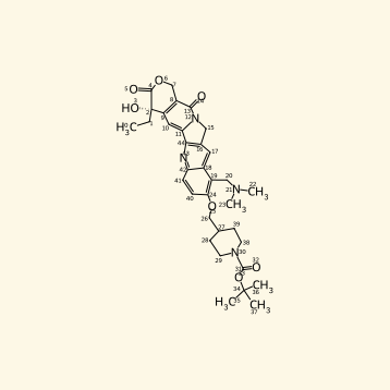 CC[C@@]1(O)C(=O)OCc2c1cc1n(c2=O)Cc2cc3c(CN(C)C)c(OCC4CCN(C(=O)OC(C)(C)C)CC4)ccc3nc2-1